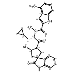 COc1cccc2[nH]c(C(=O)N(C)[C@@H](CC3CC3)C(=O)N3C[C@]4(C[C@H]3C#N)C(=O)Nc3ccccc34)cc12